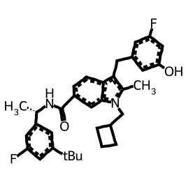 Cc1c(Cc2cc(O)cc(F)c2)c2ccc(C(=O)N[C@@H](C)c3cc(F)cc(C(C)(C)C)c3)cc2n1CC1CCC1